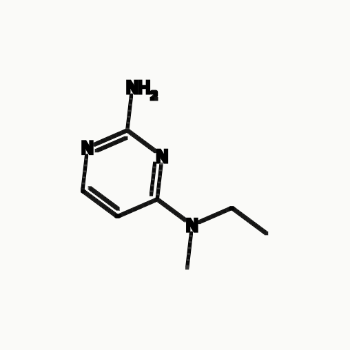 CCN(C)c1ccnc(N)n1